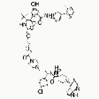 Cc1ncsc1-c1ccc(CNC(=O)[C@@H]2C[C@@H](O)CN2C(=O)C(NC(=O)COCCOCC(=O)N2CCN(CCC(NC(=O)C3(N)CCN(c4ncnc5[nH]ccc45)CC3)c3ccc(Cl)cc3)CC2)C(C)(C)C)cc1